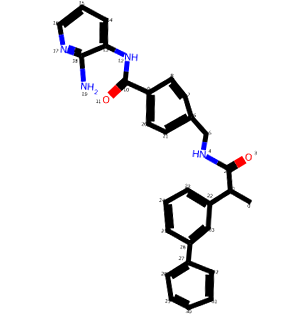 CC(C(=O)NCc1ccc(C(=O)Nc2cccnc2N)cc1)c1cccc(-c2ccccc2)c1